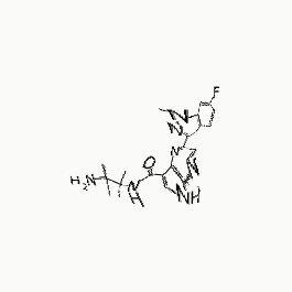 Cn1nc(-c2cnc3[nH]cc(C(=O)NC(C)(C)C(C)(C)N)c3n2)c2ccc(F)cc21